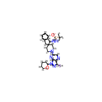 CC(C)(C)[S@@+]([O-])N[C@@H]1c2ccccc2CC12CCN(c1cnc3c(I)nn(C4CCCCO4)c3n1)CC2